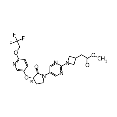 COC(=O)CC1CN(c2ncc(N3CC[C@@H](Oc4ccc(OCC(F)(F)F)nc4)C3=O)cn2)C1